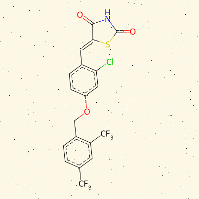 O=C1NC(=O)C(=Cc2ccc(OCc3ccc(C(F)(F)F)cc3C(F)(F)F)cc2Cl)S1